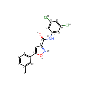 Cc1cccc(-c2cc(C(=O)Nc3cc(Cl)cc(Cl)c3)no2)c1